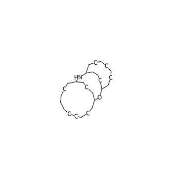 C1CCCCCC2CCCC(CCCC1)NC1CCCCCCCC(CCC1)O2